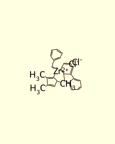 CC1=CC(C)[C](/[Zr+2](=[CH]/c2ccccc2)[c]2cccc3c2Cc2ccccc2-3)=C1C.[Cl-].[Cl-]